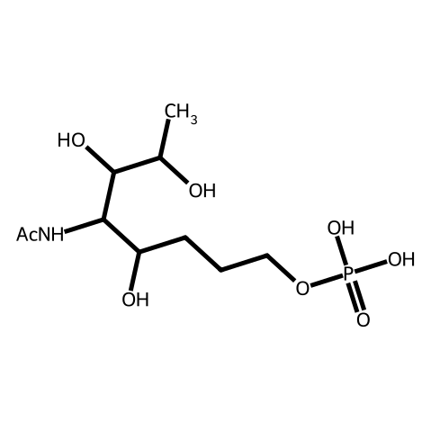 CC(=O)NC(C(O)CCCOP(=O)(O)O)C(O)C(C)O